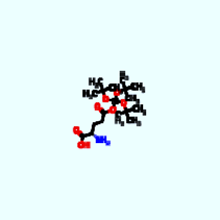 CC(C)(C)O[Si](OC(=O)CC[C@H](N)C(=O)O)(OC(C)(C)C)OC(C)(C)C